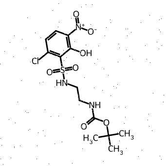 CC(C)(C)OC(=O)NCCNS(=O)(=O)c1c(Cl)ccc([N+](=O)[O-])c1O